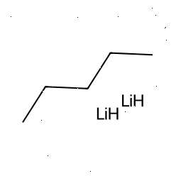 CCCCC.[LiH].[LiH]